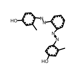 Cc1cc(O)ccc1/N=N/c1ccccc1/N=N/c1ccc(O)cc1C